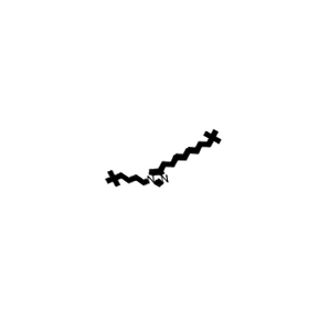 CC(C)(C)CC/C=C/C=C/CCc1cn(CCCCC(C)(C)C)cn1